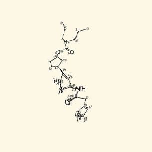 CCCN(CCC)C(=O)OC1CC[C@H](c2cc(NC(=O)Cc3ccno3)n[nH]2)C1